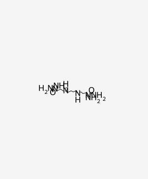 NC(=O)N(N)CCCNCCCCNCCCN(N)C(N)=O